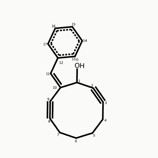 OC1C#CCCCCC#CC1=Cc1ccccc1